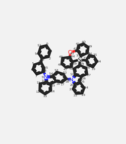 c1ccc(-c2cccc(-n3c4ccccc4c4cc(-n5c6ccccc6c6ccc([Si]7(c8ccccc8)c8ccccc8Oc8ccccc87)cc65)ccc43)c2)cc1